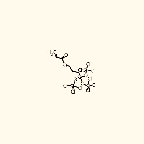 C=CC(=O)OCCC[Si](O[Si](Cl)(Cl)Cl)(O[Si](Cl)(Cl)Cl)O[Si](Cl)(Cl)Cl